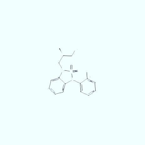 C[C@@H](CBr)CN1c2ccccc2N(c2ccccc2F)S1(=O)=O